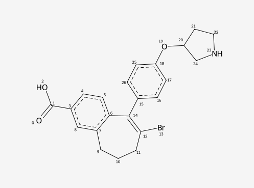 O=C(O)c1ccc2c(c1)CCCC(Br)=C2c1ccc(OC2CCNC2)cc1